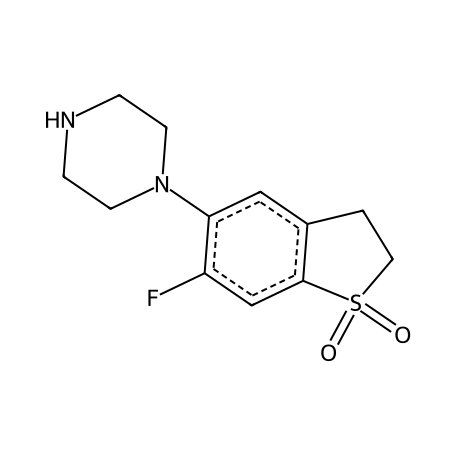 O=S1(=O)CCc2cc(N3CCNCC3)c(F)cc21